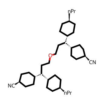 CCC[C@H]1CC[C@H](C(CCOCCC([C@H]2CC[C@H](C#N)CC2)[C@H]2CC[C@H](CCC)CC2)[C@H]2CC[C@H](C#N)CC2)CC1